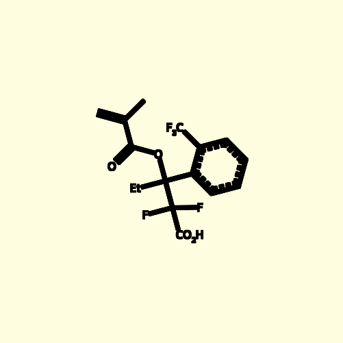 C=C(C)C(=O)OC(CC)(c1ccccc1C(F)(F)F)C(F)(F)C(=O)O